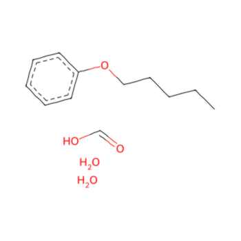 CCCCCOc1ccccc1.O.O.O=CO